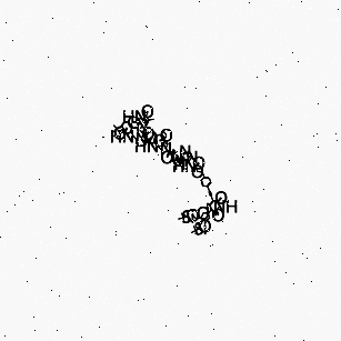 COC(=O)CN(CCNC(=O)CN(CCNC(=O)OC(C)(C)C)C(=O)Cn1cc(C)c(=O)[nH]c1=O)C(=O)Cn1cnc2c(NC(=O)OCc3ccc(C#Cc4cn(C5CC(O[Si](C)(C)C(C)(C)C)C(CO[Si](C)(C)C(C)(C)C)O5)c(=O)[nH]c4=O)cc3)ncnc21